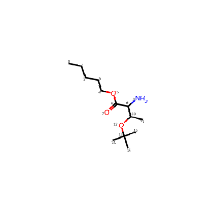 CCCCCOC(=O)C(N)C(C)OC(C)(C)C